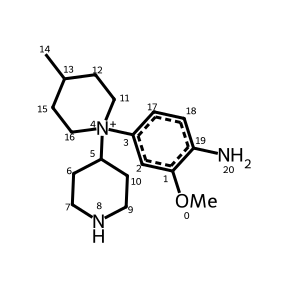 COc1cc([N+]2(C3CCNCC3)CCC(C)CC2)ccc1N